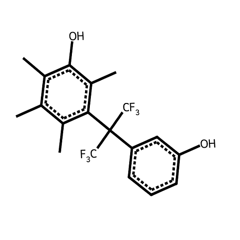 Cc1c(C)c(O)c(C)c(C(c2cccc(O)c2)(C(F)(F)F)C(F)(F)F)c1C